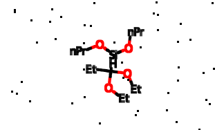 CCCO[SiH](OCCC)C(CC)(OCC)OCC